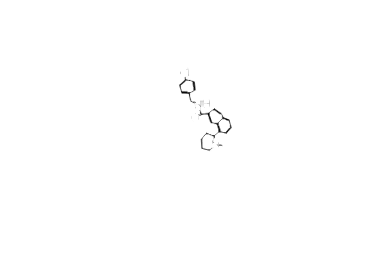 CN1CCCCC1c1cccc2ccc(C(=O)NCc3ccc(Cl)cc3)cc12